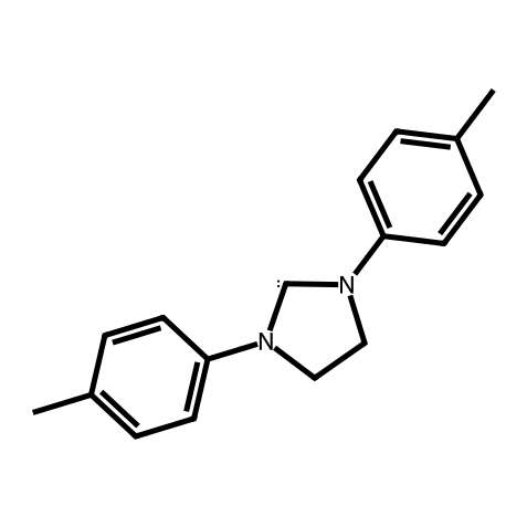 Cc1ccc(N2[C]N(c3ccc(C)cc3)CC2)cc1